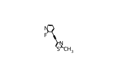 Cc1nc(C#Cc2cccnc2F)cs1